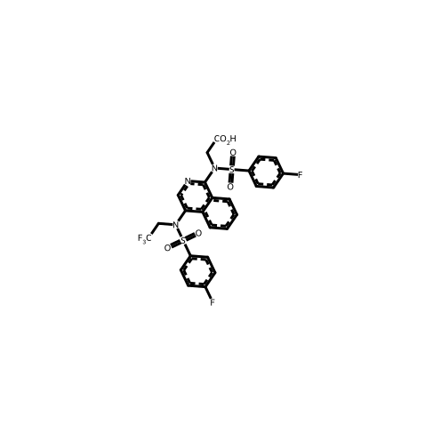 O=C(O)CN(c1ncc(N(CC(F)(F)F)S(=O)(=O)c2ccc(F)cc2)c2ccccc12)S(=O)(=O)c1ccc(F)cc1